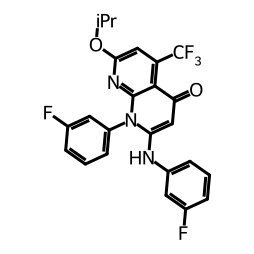 CC(C)Oc1cc(C(F)(F)F)c2c(=O)cc(Nc3cccc(F)c3)n(-c3cccc(F)c3)c2n1